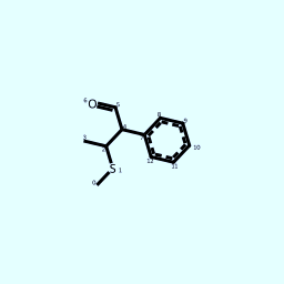 CSC(C)C(C=O)c1ccccc1